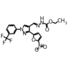 CCOC(=O)NN=Cc1cn(-c2cccc(C(F)(F)F)c2)nc1-c1ccc([N+](=O)[O-])o1